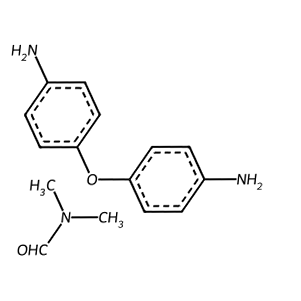 CN(C)C=O.Nc1ccc(Oc2ccc(N)cc2)cc1